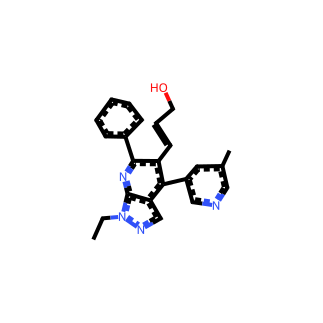 CCn1ncc2c(-c3cncc(C)c3)c(/C=C/CO)c(-c3ccccc3)nc21